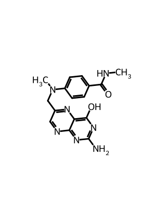 CNC(=O)c1ccc(N(C)Cc2cnc3nc(N)nc(O)c3n2)cc1